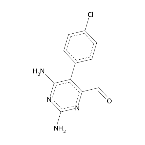 Nc1nc(N)c(-c2ccc(Cl)cc2)c(C=O)n1